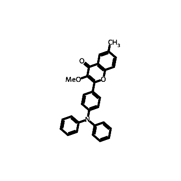 COc1c(-c2ccc(N(c3ccccc3)c3ccccc3)cc2)oc2ccc(C)cc2c1=O